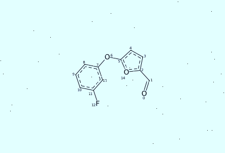 O=Cc1ccc(Oc2cccc(F)c2)o1